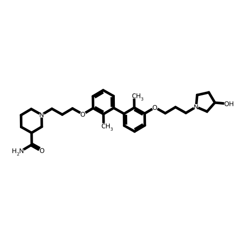 Cc1c(OCCCN2CCC(O)C2)cccc1-c1cccc(OCCCN2CCCC(C(N)=O)C2)c1C